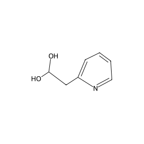 OC(O)Cc1ccccn1